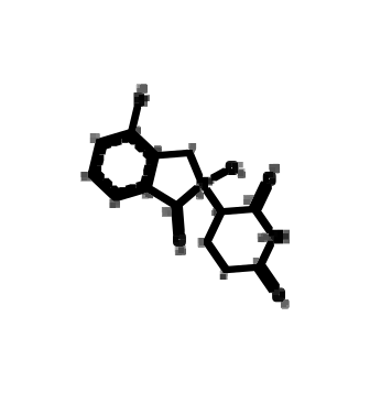 O=C1CCC([N+]2([O-])Cc3c(Br)cccc3C2=O)C(=O)N1